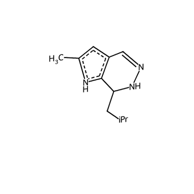 Cc1cc2c([nH]1)C(CC(C)C)NN=C2